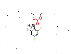 CCOC(OCC)O[SiH2]c1c(F)cc(F)cc1F